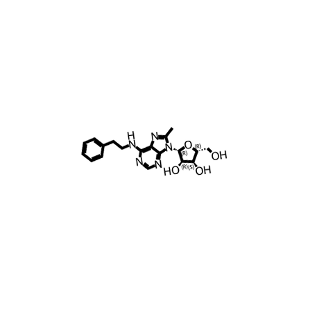 Cc1nc2c(NCCc3ccccc3)ncnc2n1[C@@H]1O[C@H](CO)[C@@H](O)[C@H]1O